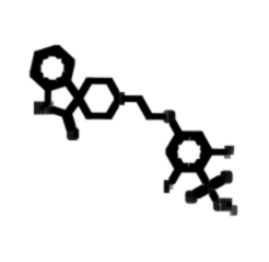 CS(=O)(=O)c1c(F)cc(OCCN2CCC3(CC2)C(=O)Nc2ccccc23)cc1F